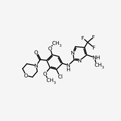 CNc1nc(Nc2cc(OC)c(C(=O)N3CCOCC3)c(OC)c2Cl)ncc1C(F)(F)F